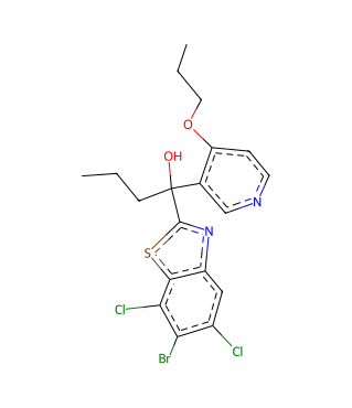 CCCOc1ccncc1C(O)(CCC)c1nc2cc(Cl)c(Br)c(Cl)c2s1